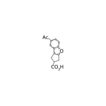 CC(=O)c1ccc2oc3c(c2c1)CC(C(=O)O)C3